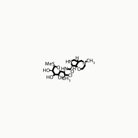 CSC1O[C@H]([C@H](NC(=O)[C@H]2NC[C@@H]3CN(C)CCO[C@H]32)[C@H](C)Cl)C(O)C(O)[C@H]1O